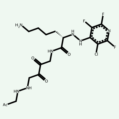 CC(=O)CNNCC(=O)C(=O)CNC(=O)[C@H](CCCCN)NNc1c(F)c(F)nc(F)c1Cl